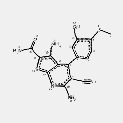 CSc1ccc(-c2c(C#N)c(N)nc3sc(C(N)=O)c(N)c23)cc1O